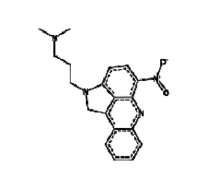 CN(C)CCCN1Cc2c3ccccc3nc3c([N+](=O)[O-])ccc1c23